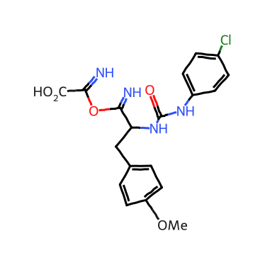 COc1ccc(CC(NC(=O)Nc2ccc(Cl)cc2)C(=N)OC(=N)C(=O)O)cc1